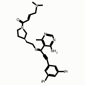 Cc1ncnc(N)c1/C(C#Cc1cc(C(C)C)cc(C(C)C)c1)=N\CC[C@H]1CCN(C(=O)/C=C/CN(C)C)C1